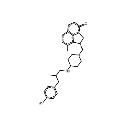 CC(CNC1CCN(C[C@@H]2Cn3c(=O)ccc4ccc(F)c2c43)CC1)Cc1ccc(C(C)C)cc1